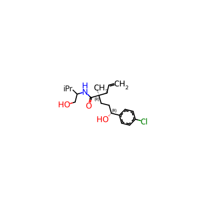 C=CC[C@@](C)(CC[C@@H](O)c1ccc(Cl)cc1)C(=O)NC(CO)C(C)C